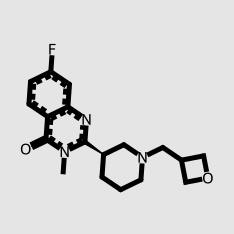 Cn1c([C@@H]2CCCN(CC3COC3)C2)nc2cc(F)ccc2c1=O